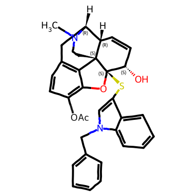 CC(=O)Oc1ccc2c3c1O[C@@]1(Sc4cn(Cc5ccccc5)c5ccccc45)[C@@H](O)C=C[C@H]4[C@@H](C2)N(C)CC[C@@]341